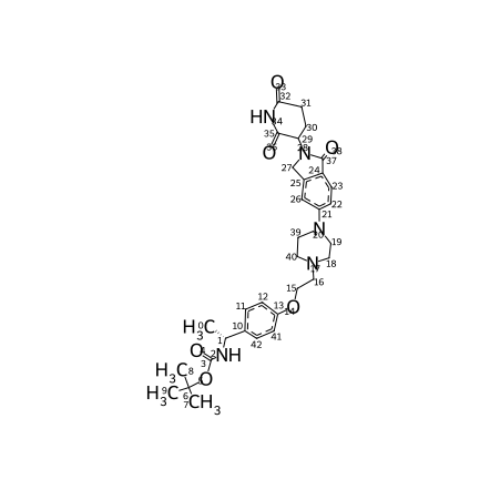 C[C@@H](NC(=O)OC(C)(C)C)c1ccc(OCCN2CCN(c3ccc4c(c3)CN(C3CCC(=O)NC3=O)C4=O)CC2)cc1